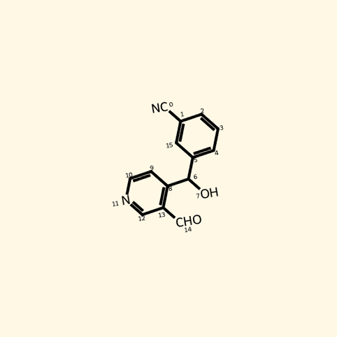 N#Cc1cccc(C(O)c2ccncc2C=O)c1